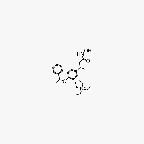 CC(CC(=O)NO)c1ccc(OC(C)c2ccccc2)cc1.CC[N+](CC)(CC)CC